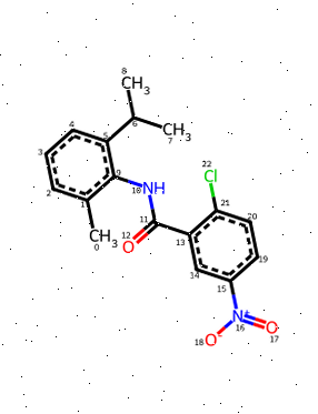 Cc1cccc(C(C)C)c1NC(=O)c1cc([N+](=O)[O-])ccc1Cl